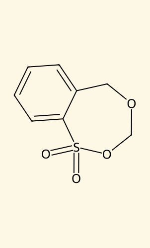 O=S1(=O)OCOCc2ccccc21